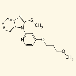 COCCCOc1ccnc(-n2c(SC)nc3ccccc32)c1